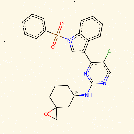 O=S(=O)(c1ccccc1)n1cc(-c2nc(N[C@@H]3CCCC4(CO4)C3)ncc2Cl)c2ccccc21